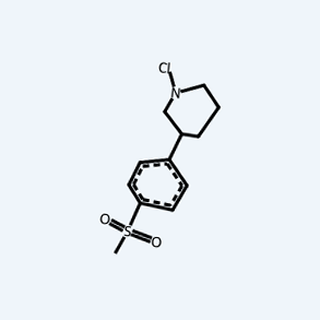 CS(=O)(=O)c1ccc(C2CCCN(Cl)C2)cc1